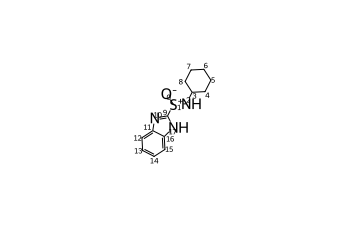 [O-][S+](NC1CCCCC1)c1nc2ccccc2[nH]1